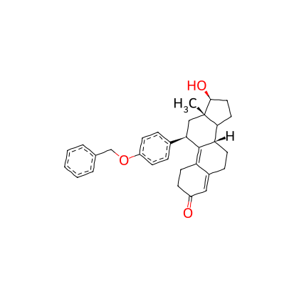 C[C@]12C[C@H](c3ccc(OCc4ccccc4)cc3)C3=C4CCC(=O)C=C4CC[C@H]3C1CC[C@@H]2O